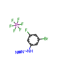 F[P-](F)(F)(F)(F)F.N#[N+]Nc1cc(F)cc(Br)c1